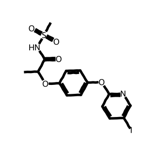 CC(Oc1ccc(Oc2ccc(I)cn2)cc1)C(=O)NS(C)(=O)=O